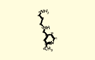 Cc1cc(CNCCCN)ccn1